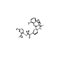 COc1cc(F)ccc1CNC(=O)c1ccc2c(c1)N(Cc1c(F)cccc1Cl)C(=O)N(C)C2C